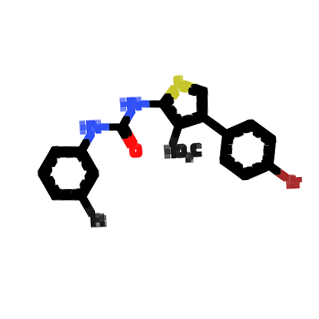 CCc1cccc(NC(=O)Nc2scc(-c3ccc(Br)cc3)c2C(=O)O)c1